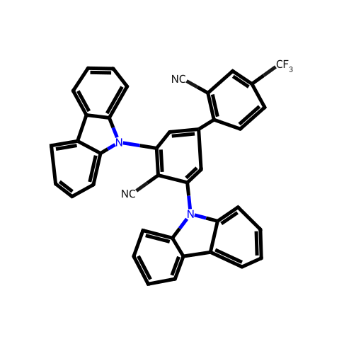 N#Cc1cc(C(F)(F)F)ccc1-c1cc(-n2c3ccccc3c3ccccc32)c(C#N)c(-n2c3ccccc3c3ccccc32)c1